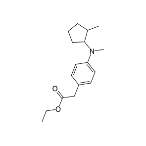 CCOC(=O)Cc1ccc(N(C)C2CCCC2C)cc1